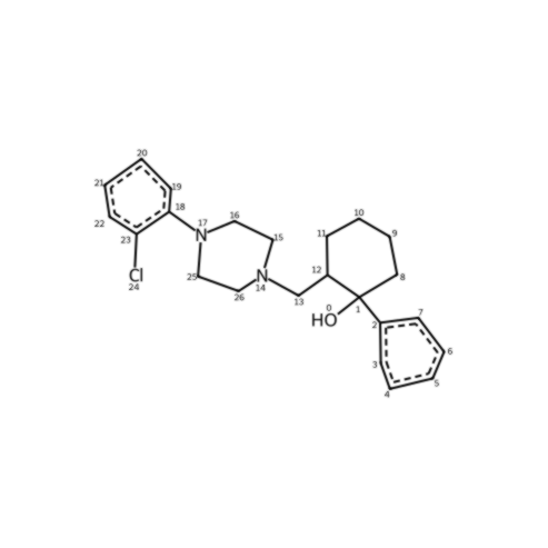 OC1(c2ccccc2)CCCCC1CN1CCN(c2ccccc2Cl)CC1